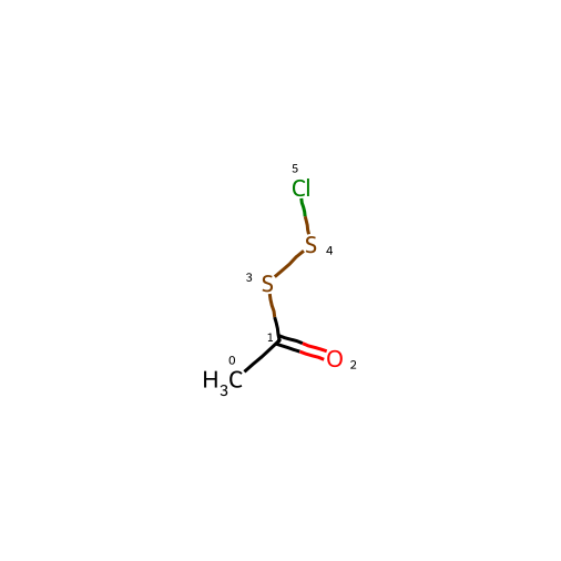 CC(=O)SSCl